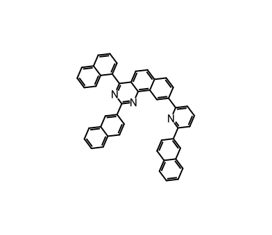 c1cc(-c2ccc3ccccc3c2)nc(-c2ccc3ccc4c(-c5cccc6ccccc56)nc(-c5ccc6ccccc6c5)nc4c3c2)c1